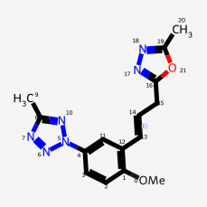 COc1ccc(-n2nnc(C)n2)cc1/C=C/Cc1nnc(C)o1